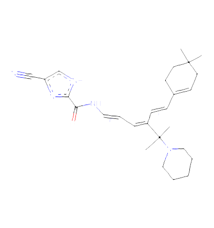 CC1(C)CC=C(/C=C/C(=C\C=C\NC(=O)c2nc(C#N)c[nH]2)C(C)(C)N2CCCCC2)CC1